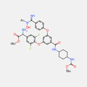 CC(=O)N(O)C(=N)c1ccc(Oc2cc(Oc3c(F)cc(C(N)C(=O)OC(C)(C)C)cc3F)cc(C(=O)NC3CCC(NC(=O)OC(C)(C)C)CC3)c2)cc1